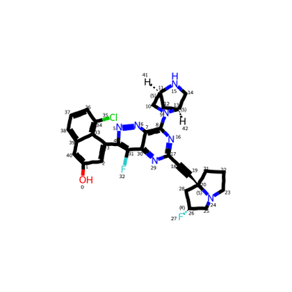 Oc1cc(-c2nnc3c(N4C[C@@H]5C[C@H]4CN5)nc(C#C[C@@]45CCCN4C[C@H](F)C5)nc3c2F)c2c(Cl)cccc2c1